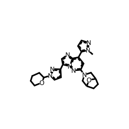 Cn1nccc1-c1cc(N2CC3CCC(C2)O3)nn2c(-c3ccn(C4CCCCO4)n3)cnc12